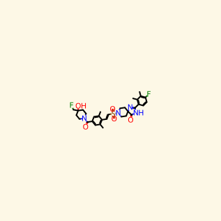 Cc1cc(C(=O)N2CCC(O)(CF)CC2)cc(C)c1/C=C/S(=O)(=O)N1CCC2(CC1)N=C(c1ccc(F)c(C)c1C)NC2=O